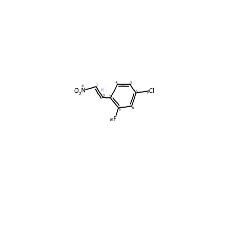 O=[N+]([O-])/C=C/c1ccc(Cl)cc1F